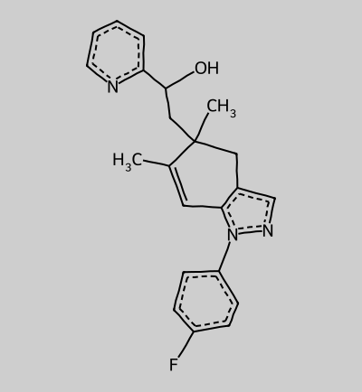 CC1=Cc2c(cnn2-c2ccc(F)cc2)CC1(C)CC(O)c1ccccn1